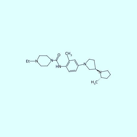 CCN1CCN(C(=O)Nc2ccc(N3CC[C@@H](N4CCC[C@@H]4C)C3)cc2C)CC1